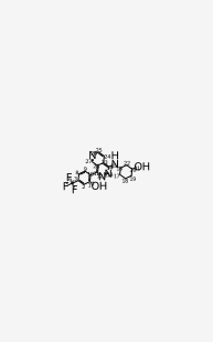 Oc1cc(C(F)(F)F)ccc1-c1nnc(N[C@H]2CCC[C@H](O)C2)c2ccncc12